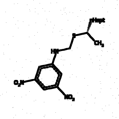 CCCCCCC[C@H](C)SCNc1cc([N+](=O)[O-])cc([N+](=O)[O-])c1